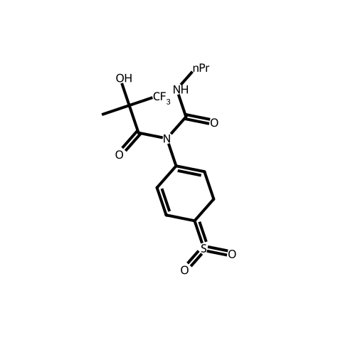 CCCNC(=O)N(C(=O)C(C)(O)C(F)(F)F)C1=CCC(=S(=O)=O)C=C1